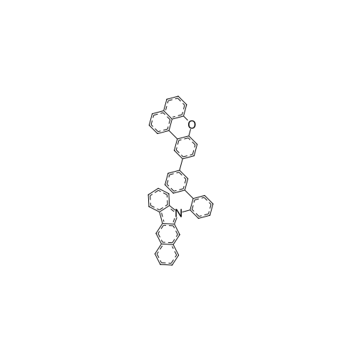 c1cc(-c2ccc3c(c2)-c2cccc4cccc(c24)O3)cc(-c2ccccc2-n2c3ccccc3c3cc4ccccc4cc32)c1